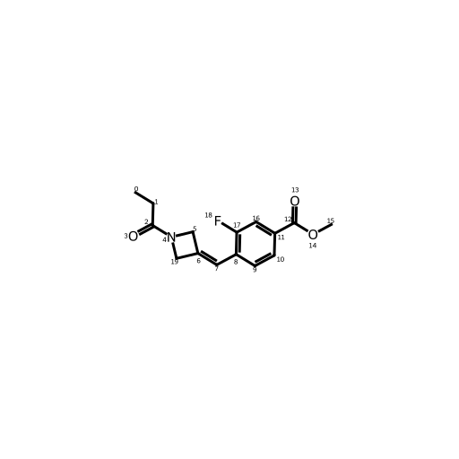 CCC(=O)N1CC(=Cc2ccc(C(=O)OC)cc2F)C1